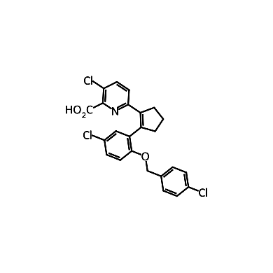 O=C(O)c1nc(C2=C(c3cc(Cl)ccc3OCc3ccc(Cl)cc3)CCC2)ccc1Cl